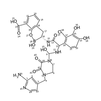 Nc1cc(CN2CCN(C(O)NC(C(=O)N[C@H]3Cc4cccc(C(=O)O)c4OB3O)c3ccc(O)c(O)c3Cl)C(=O)C2=O)ccn1